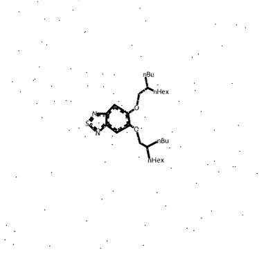 CCCCCCC(CCCC)COc1cc2nsnc2cc1OCC(CCCC)CCCCCC